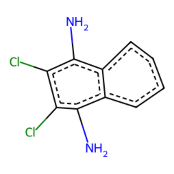 Nc1c(Cl)c(Cl)c(N)c2ccccc12